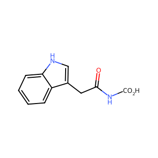 O=C(O)NC(=O)Cc1c[nH]c2ccccc12